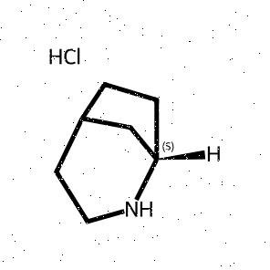 C1CC2CC[C@@H](C2)N1.Cl